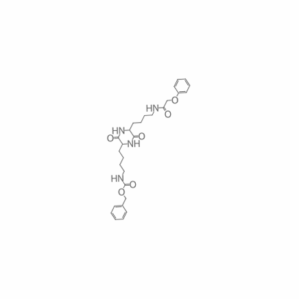 O=C(COc1ccccc1)NCCCCC1NC(=O)C(CCCCNC(=O)OCc2ccccc2)NC1=O